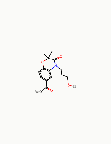 CCOCCCN1C(=O)C(C)(C)Oc2ccc(C(=O)OC)cc21